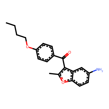 CCCCOc1ccc(C(=O)c2c(C)oc3ccc(N)cc23)cc1